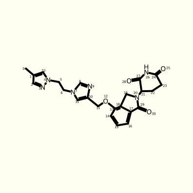 Cc1cnn(CCn2cnc(COc3cccc4c3CN(C3CCC(=O)NC3=O)C4=O)c2)c1